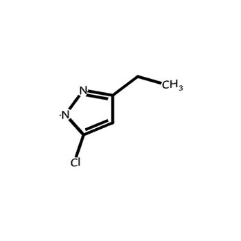 CCC1=N[N]C(Cl)=C1